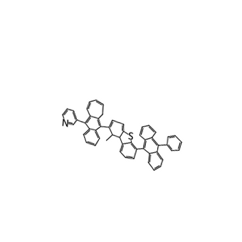 CC1C(c2c3c(c(-c4cccnc4)c4ccccc24)C=CC=CC3)=CC=C2Sc3c(-c4c5ccccc5c(-c5ccccc5)c5ccccc45)cccc3C21